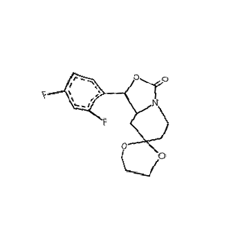 O=C1OC(c2ccc(F)cc2F)C2CC3(CCN12)OCCO3